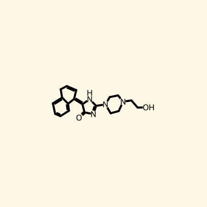 O=C1N=C(N2CCN(CCO)CC2)NC1=C1C=CCc2ccccc21